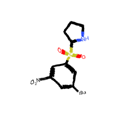 CC(C)(C)c1cc([N+](=O)[O-])cc(S(=O)(=O)C2CCCN2)c1